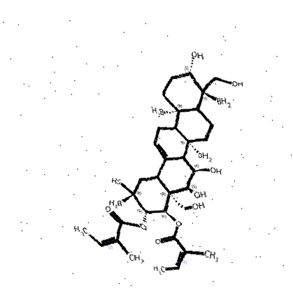 B[C@@]12CCC3[C@](B)(CC[C@H](O)[C@]3(B)CO)C1CC=C1C2[C@@H](O)[C@@H](O)[C@]2(CO)C1C[C@@](B)(S)[C@@H](OC(=O)/C(C)=C\C)[C@@H]2OC(=O)/C(C)=C\C